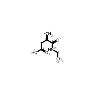 C=C(CC(=O)O)C(=O)NCC